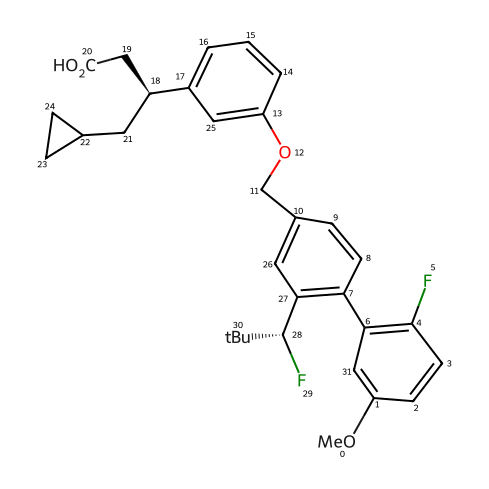 COc1ccc(F)c(-c2ccc(COc3cccc([C@H](CC(=O)O)CC4CC4)c3)cc2[C@H](F)C(C)(C)C)c1